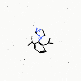 CC(C)c1cccc(C(C)C)c1N1C=NCC1